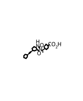 CC(c1ccc(C(=O)O)cc1)n1c(=O)[nH]c2ccc(C#Cc3ccccc3)cc2c1=O